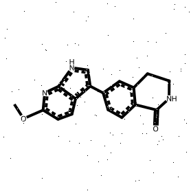 COc1ccc2c(-c3ccc4c(c3)CCNC4=O)c[nH]c2n1